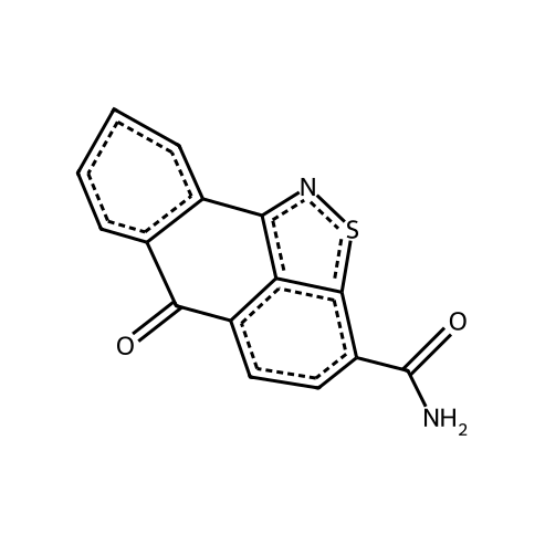 NC(=O)c1ccc2c3c(nsc13)-c1ccccc1C2=O